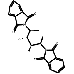 CC([C@@H](C)[C@H](C)[C@H](C)N1C(=O)c2ccccc2C1=O)N1C(=O)c2ccccc2C1=O